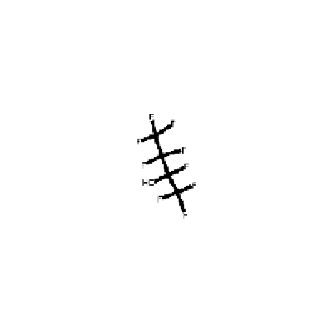 OC(F)(C(F)(F)F)C(F)(F)C(F)(F)F